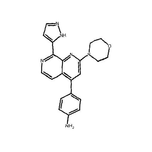 Nc1ccc(-c2cc(N3CCOCC3)nc3c(-c4ccn[nH]4)nccc23)cc1